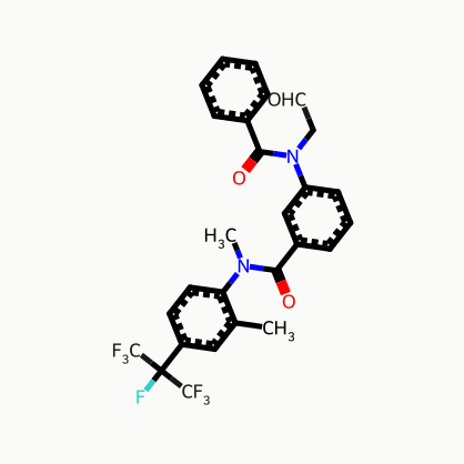 Cc1cc(C(F)(C(F)(F)F)C(F)(F)F)ccc1N(C)C(=O)c1cccc(N(CC=O)C(=O)c2ccccc2)c1